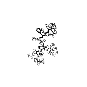 CC[C@@]1(O)C(=O)OCc2c1cc1n(c2=O)Cc2c-1nc1ccccc1c2CCN(C(=O)OCc1ccc(NC(=O)[C@H](C)NC(=O)[C@@H](N)C(C)C)c(O[C@@H]2OC(C(=O)O)[C@@H](O)[C@H](O)[C@H]2O)c1)C(C)C